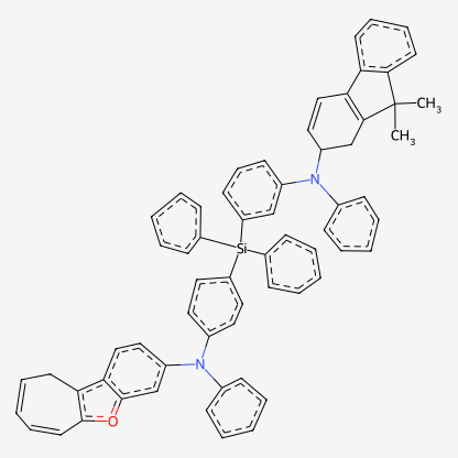 CC1(C)C2=C(C=CC(N(c3ccccc3)c3cccc([Si](c4ccccc4)(c4ccccc4)c4ccc(N(c5ccccc5)c5ccc6c7c(oc6c5)C=CC=CC7)cc4)c3)C2)c2ccccc21